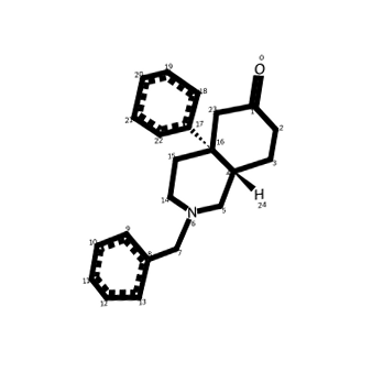 O=C1CC[C@@H]2CN(Cc3ccccc3)CC[C@@]2(c2ccccc2)C1